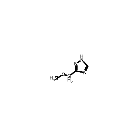 [SiH3]O[SiH2]c1nc[nH]n1